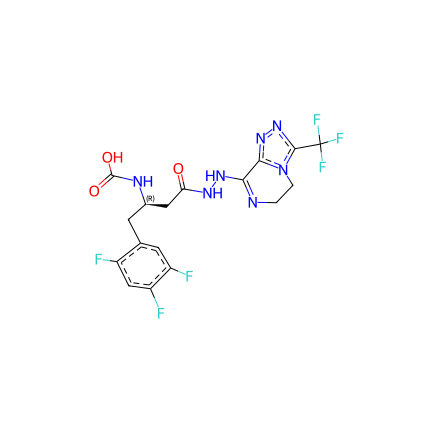 O=C(O)N[C@@H](CC(=O)NNC1=NCCn2c1nnc2C(F)(F)F)Cc1cc(F)c(F)cc1F